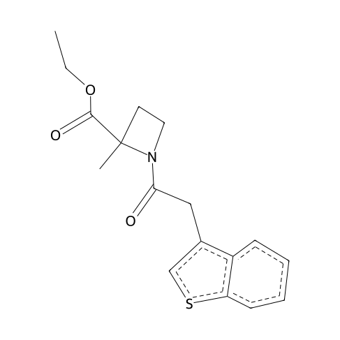 CCOC(=O)C1(C)CCN1C(=O)Cc1csc2ccccc12